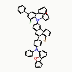 Fc1cc(-c2ccccc2)cc(-c2ccccc2)c1N(c1ccccc1)c1ccc2cc3c4c(cccc4c2c1)Sc1cc(N(c2ccccc2)c2cccc4c2oc2ccccc24)ccc1-3